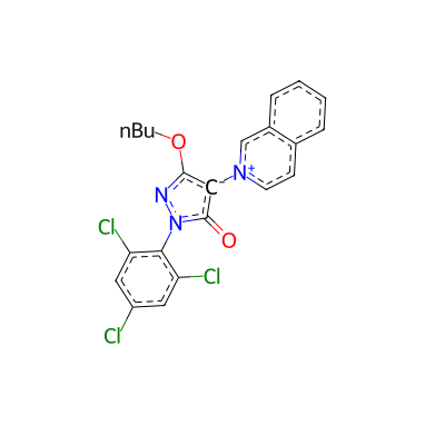 CCCCOc1nn(-c2c(Cl)cc(Cl)cc2Cl)c(=O)[c-]1-[n+]1ccc2ccccc2c1